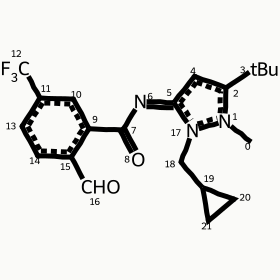 Cn1c(C(C)(C)C)c/c(=N/C(=O)c2cc(C(F)(F)F)ccc2C=O)n1CC1CC1